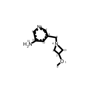 COC1CN(Cc2cncc(N)c2)C1